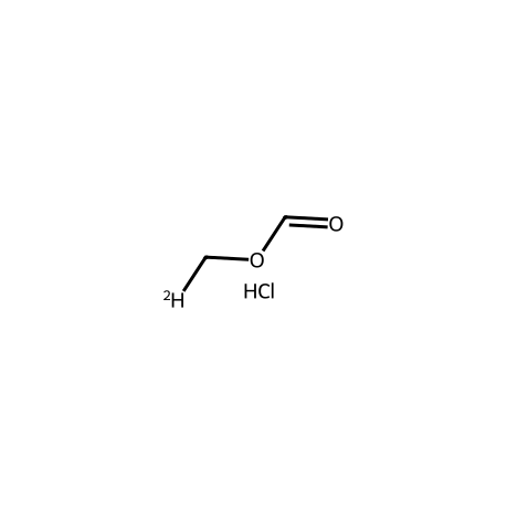 Cl.[2H]COC=O